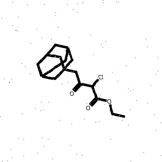 CCOC(=O)C(Cl)C(=O)CC12CC3CC(CC(C3)C1)C2